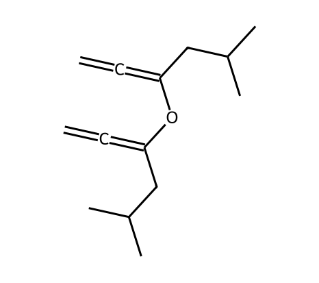 C=C=C(CC(C)C)OC(=C=C)CC(C)C